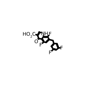 O=C(O)c1c[nH]c2c(F)c(Cc3cc(F)cc(F)c3)cc(F)c2c1=O